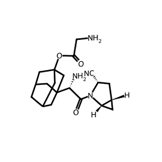 N#C[C@@H]1C[C@@H]2C[C@@H]2N1C(=O)[C@@H](N)C12CC3CC(CC(OC(=O)CN)(C3)C1)C2